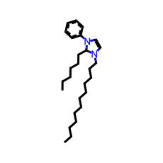 CCCCCCCCCCCCN1C=CN(c2ccccc2)C1CCCCCC